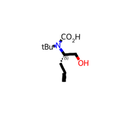 C=CC[C@@H](CO)N(C(=O)O)C(C)(C)C